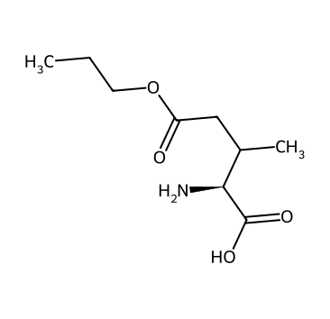 CCCOC(=O)CC(C)[C@H](N)C(=O)O